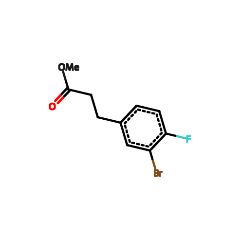 COC(=O)CCc1ccc(F)c(Br)c1